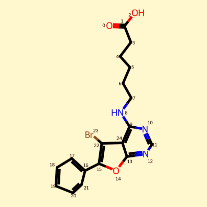 O=C(O)CCCCCNc1ncnc2oc(-c3ccccc3)c(Br)c12